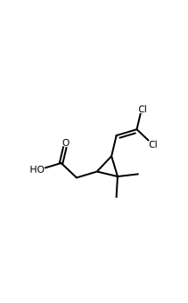 CC1(C)C(C=C(Cl)Cl)C1CC(=O)O